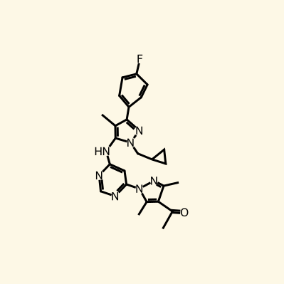 CC(=O)c1c(C)nn(-c2cc(Nc3c(C)c(-c4ccc(F)cc4)nn3CC3CC3)ncn2)c1C